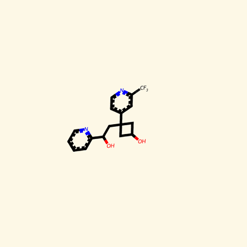 OC1CC(CC(O)c2ccccn2)(c2ccnc(C(F)(F)F)c2)C1